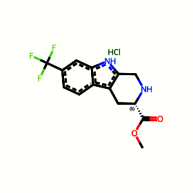 COC(=O)[C@@H]1Cc2c([nH]c3cc(C(F)(F)F)ccc23)CN1.Cl